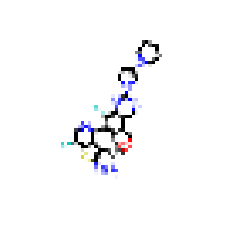 N#Cc1c(N)sc2c(F)cnc(-c3c4c(c5cnc(N6CC[C@H](N7CCCCC7)C6)nc5c3F)COC4)c12